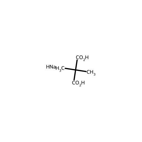 CC(C)(C(=O)O)C(=O)O.[NaH]